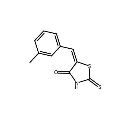 Cc1cccc(C=C2SC(=S)NC2=O)c1